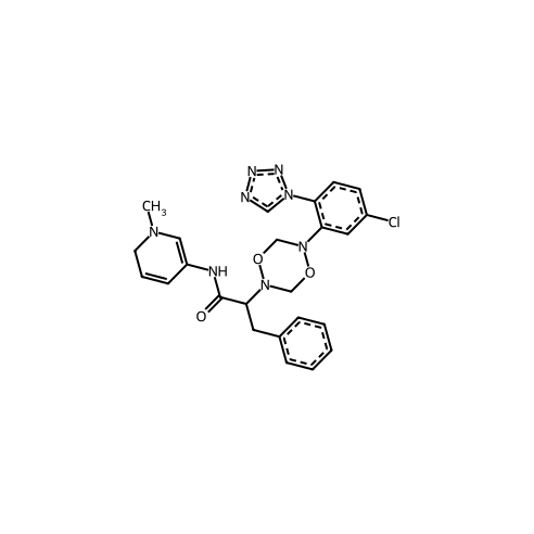 CN1C=C(NC(=O)C(Cc2ccccc2)N2CON(c3cc(Cl)ccc3-n3cnnn3)CO2)C=CC1